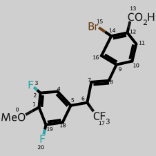 COc1c(F)cc(C(C=Cc2ccc(C(=O)O)c(Br)c2)C(F)(F)F)cc1F